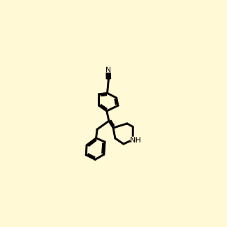 N#Cc1ccc(C(Cc2ccccc2)=C2CCNCC2)cc1